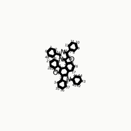 c1ccc(-c2nc(-c3ccccc3)c3oc4ccc5c(c4c3n2)c2c3ccccc3oc2c2c3ccccc3n(-c3ccccc3)c52)cc1